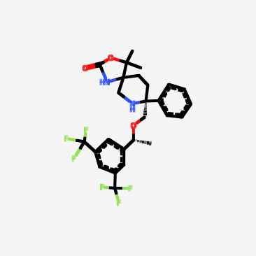 C[C@@H](OC[C@@]1(c2ccccc2)CCC2(CN1)NC(=O)OC2(C)C)c1cc(C(F)(F)F)cc(C(F)(F)F)c1